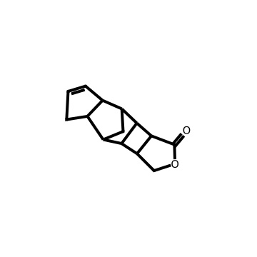 O=C1OCC2C1C1C3CC(C4CC=CC43)C21